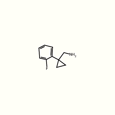 NCC1(c2ccccc2F)CC1